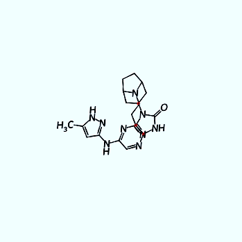 Cc1cc(Nc2cnc3[nH]c(=O)n(C4CC5CCC(C4)N5CCC#N)c3n2)n[nH]1